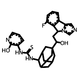 Oc1ncccc1NC(=S)NC1C2CC3CC1CC(C(O)CC1c4c(F)cccc4-c4cncn41)(C3)C2